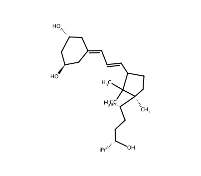 CC(C)[C@@H](O)CC[C@H](C)[C@]1(C)CCC(/C=C/C=C2C[C@@H](O)C[C@H](O)C2)C1(C)C